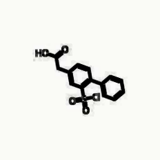 O=C(O)Cc1ccc(-c2ccccc2)c(S(=O)(=O)Cl)c1